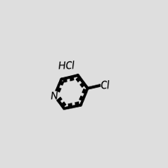 Cl.Clc1ccncc1